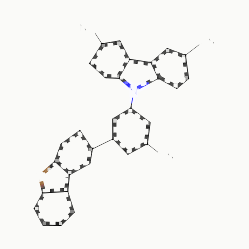 N#Cc1cc(-c2ccc3sc4ccccc4c3c2)cc(-n2c3ccc(C#N)cc3c3cc(C#N)ccc32)c1